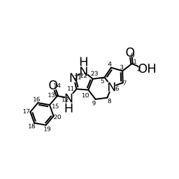 O=C(O)c1cc2n(c1)CCc1c(NC(=O)c3ccccc3)n[nH]c1-2